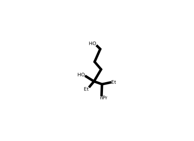 CCCC(CC)C(O)(CC)CCCO